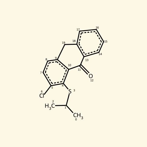 CC(C)Sc1c(Cl)ccc2c1C(=O)c1ccccc1C2